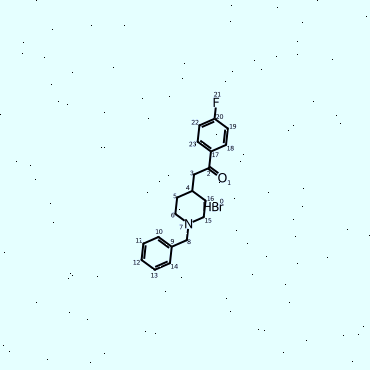 Br.O=C(CC1CCN(Cc2ccccc2)CC1)c1ccc(F)cc1